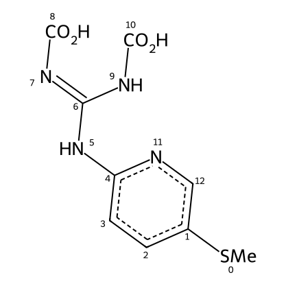 CSc1ccc(NC(=NC(=O)O)NC(=O)O)nc1